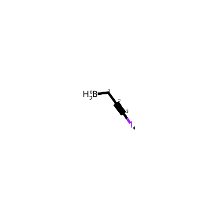 BCC#CI